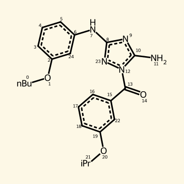 CCCCOc1cccc(Nc2nc(N)n(C(=O)c3cccc(OC(C)C)c3)n2)c1